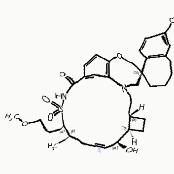 COCC[C@@H]1[C@H](C)C/C=C\[C@H](O)[C@@H]2CC[C@H]2CN2C[C@@]3(CCCc4cc(Cl)ccc43)COc3ccc(cc32)C(=O)NS1(=O)=O